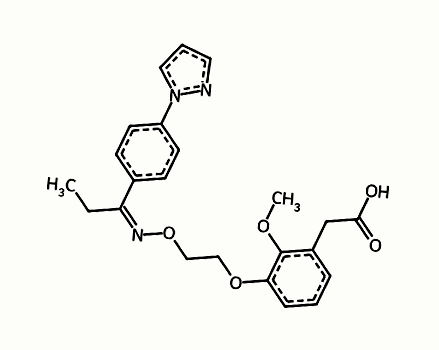 CCC(=NOCCOc1cccc(CC(=O)O)c1OC)c1ccc(-n2cccn2)cc1